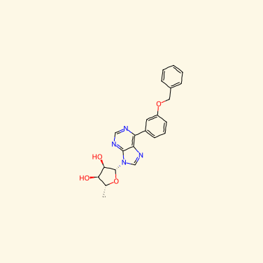 [CH2][C@H]1O[C@@H](n2cnc3c(-c4cccc(OCc5ccccc5)c4)ncnc32)[C@H](O)[C@@H]1O